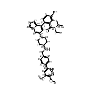 CCN(C(=O)c1cc(F)ccc1-c1cc(N2CCC(NCc3ccc(-c4cc(OC)c(OC)nn4)cc3)CC2)cn2cncc12)C(C)C